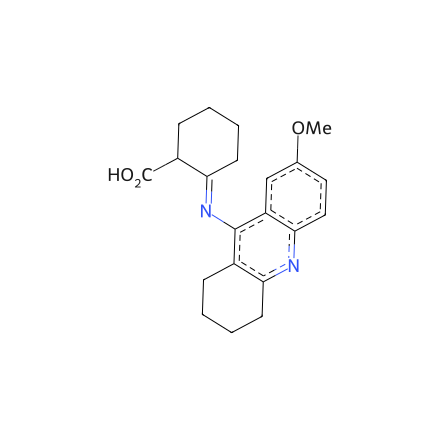 COc1ccc2nc3c(c(N=C4CCCCC4C(=O)O)c2c1)CCCC3